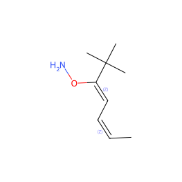 C/C=C\C=C(/ON)C(C)(C)C